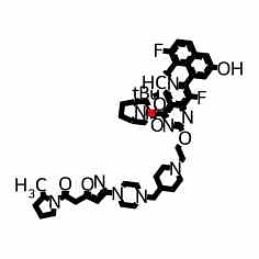 C#Cc1c(F)ccc2cc(O)cc(-c3ncc4c(N5CC6CCC(C5)N6C(=O)OC(C)(C)C)nc(OCCN5CCC(CN6CCN(c7cc(CC(=O)N8CCCC8C)on7)CC6)CC5)nc4c3F)c12